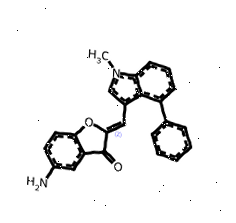 Cn1cc(/C=C2\Oc3ccc(N)cc3C2=O)c2c(-c3ccccc3)cccc21